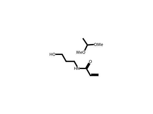 C=CC(=O)NCCCO.COC(C)OC